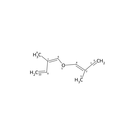 C=CC(C)=COC=C(C)C=C